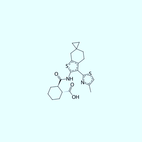 Cc1csc(-c2c(NC(=O)[C@@H]3CCCC[C@H]3C(=O)O)sc3c2CCC2(CC2)C3)n1